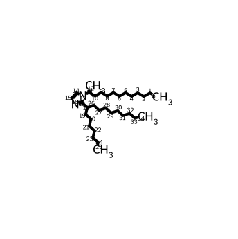 CCCCCCCCCCCC(C)n1ccnc1C(CCCCCCC)CCCCCCCCC